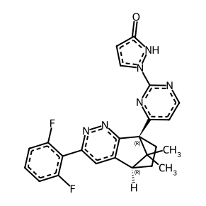 CC1(C)[C@H]2CC[C@@]1(c1ccnc(-n3ccc(=O)[nH]3)n1)c1nnc(-c3c(F)cccc3F)cc12